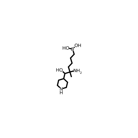 CC(N)(CCCCB(O)O)C(O)C1CCNCC1